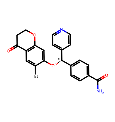 CCc1cc2c(cc1O[C@H](c1ccncc1)c1ccc(C(N)=O)cc1)OCCC2=O